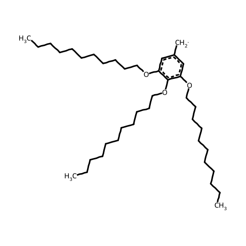 [CH2]c1cc(OCCCCCCCCCCC)c(OCCCCCCCCCCC)c(OCCCCCCCCCCC)c1